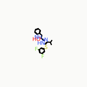 CC(C)c1nc(C(O)Cc2ccccc2N)[nH]c1Sc1cc(F)cc(F)c1